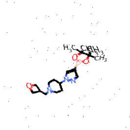 CC1(C)OB(c2cnn(C3CCN(CC4COC4)CC3)c2)OC1(C)C